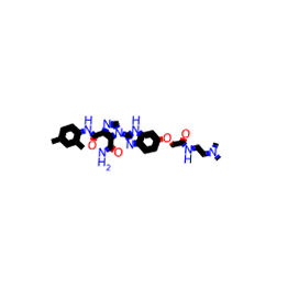 Cc1ccc(NC(=O)c2ncn(-c3nc4ccc(OCC(=O)NCCN(C)C)cc4[nH]3)c2C(N)=O)c(C)c1